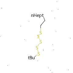 CCCCCCCCCSSSSSC(C)(C)C